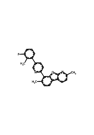 Cc1ccc2c(n1)oc1c(-c3ccc(-c4cccc(F)c4C)cn3)c(C)ccc12